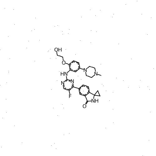 CN1CCN(c2ccc(OCCO)c(Nc3ncc(F)c(-c4ccc5c(c4)C(=O)NC54CC4)n3)c2)CC1